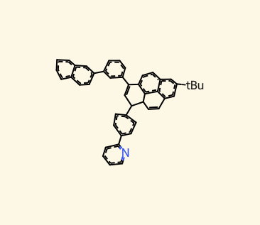 CC(C)(C)c1cc2c3c4c(ccc3c1)C(c1cccc(-c3ccc5ccccc5c3)c1)=CC(c1ccc(-c3ccccn3)cc1)C4C=C2